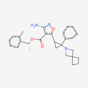 Cc1ccccc1[C@@H](C)OC(=O)c1c(N)noc1C1CC1(c1ccccc1)N1CC2(CCC2)C1